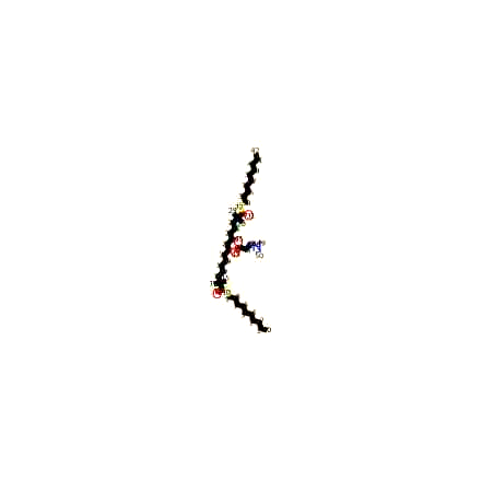 CCCCCCCCCCSC(=O)C(C)(C)CCCCCC(CCCCCC(C)(C)C(=O)SCCCCCCCCCC)OC(=O)CCN(C)C